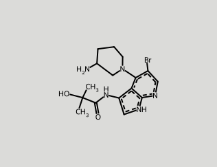 CC(C)(O)C(=O)Nc1c[nH]c2ncc(Br)c(N3CCCC(N)C3)c12